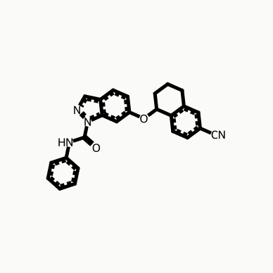 N#Cc1ccc2c(c1)CCCC2Oc1ccc2cnn(C(=O)Nc3ccccc3)c2c1